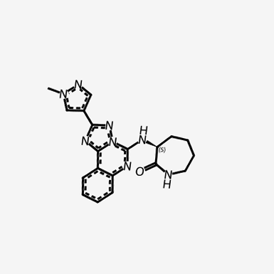 Cn1cc(-c2nc3c4ccccc4nc(N[C@H]4CCCCNC4=O)n3n2)cn1